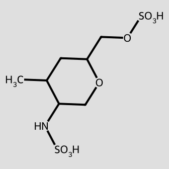 CC1CC(COS(=O)(=O)O)OCC1NS(=O)(=O)O